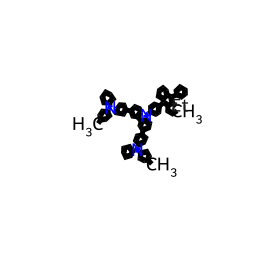 C/C=C\c1c(CC)c(-c2ccccc2)c2ccccc2c1-c1ccc(-n2c3ccc(-c4ccc(N(c5ccccc5)c5ccc(C)cc5)cc4)cc3c3cc(-c4ccc(N(c5ccccc5)c5ccc(C)cc5)cc4)ccc32)cc1